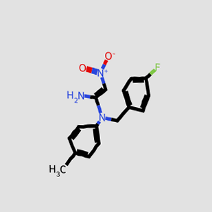 Cc1ccc(N(Cc2ccc(F)cc2)/C(N)=C/[N+](=O)[O-])cc1